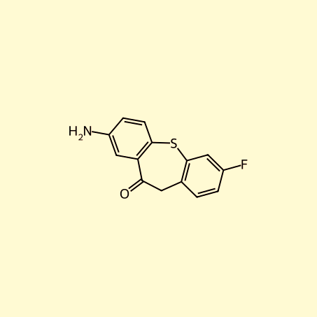 Nc1ccc2c(c1)C(=O)Cc1ccc(F)cc1S2